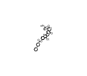 CCCC(=O)O[C@]1(CC)C(=O)OCc2c1cc1n(c2=O)Cc2c-1nc1ccc(OC(=O)N3CCC(N4CCCCC4)CC3)cc1c2CC